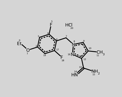 CCOc1cc(F)c(Cn2cc(C)c(C(=N)N)n2)c(F)c1.Cl